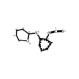 S=C=Nc1ccccc1SC1CCCCO1